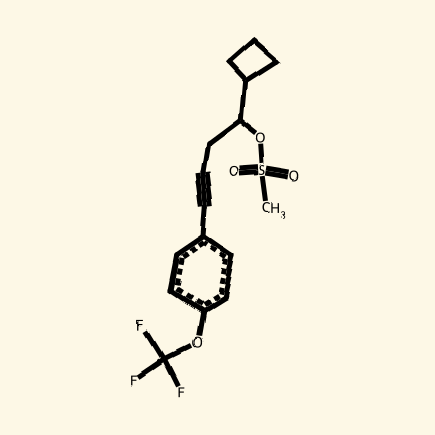 CS(=O)(=O)OC(CC#Cc1ccc(OC(F)(F)F)cc1)C1CCC1